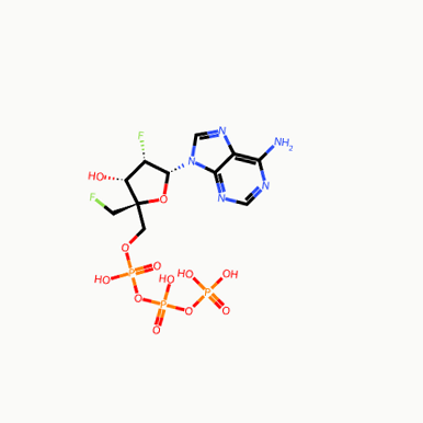 Nc1ncnc2c1ncn2[C@@H]1O[C@](CF)(COP(=O)(O)OP(=O)(O)OP(=O)(O)O)[C@H](O)[C@@H]1F